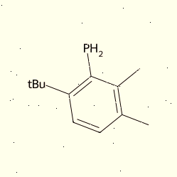 Cc1ccc(C(C)(C)C)c(P)c1C